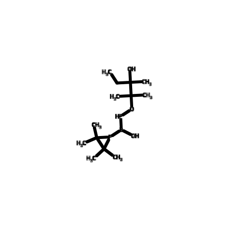 CCC(C)(O)C(C)(C)OPB(O)P1C(C)(C)C1(C)C